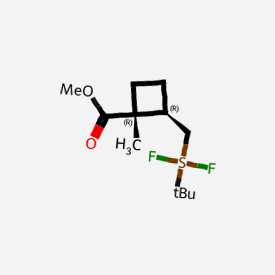 COC(=O)[C@]1(C)CC[C@H]1CS(F)(F)C(C)(C)C